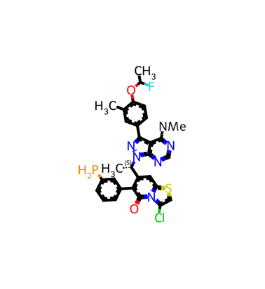 CNc1ncnc2c1c(-c1ccc(OC(C)F)c(C)c1)nn2[C@@H](C)c1cc2scc(Cl)n2c(=O)c1-c1cccc(P)c1